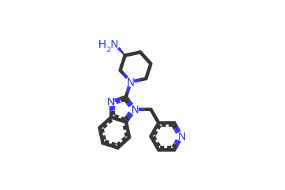 N[C@H]1CCCN(c2nc3ccccc3n2Cc2cccnc2)C1